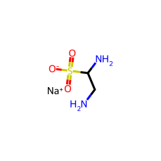 NCC(N)S(=O)(=O)[O-].[Na+]